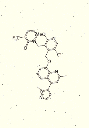 COc1ncc(Cl)c(COc2cccc3c(-c4ccnn4C)cc(C)nc23)c1Cn1cccc(C(F)(F)F)c1=O